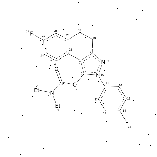 CCN(CC)C(=O)Oc1c2c(nn1-c1ccc(F)cc1)CCc1cc(F)ccc1-2